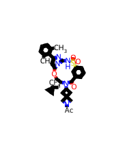 CC(=O)N1CC2(CC(N3C(=O)c4cccc(c4)S(=O)(=O)Nc4nc(cc(-c5c(C)cccc5C)n4)OC[C@H]3CC3(C(F)(F)F)CC3)C2)C1